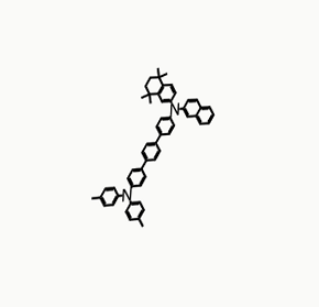 Cc1ccc(N(c2ccc(C)cc2)c2ccc(-c3ccc(-c4ccc(N(c5ccc6c(c5)C(C)(C)CCC6(C)C)c5ccc6ccccc6c5)cc4)cc3)cc2)cc1